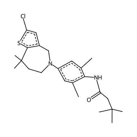 Cc1cc(N2CCC(C)(C)c3sc(Cl)cc3C2)cc(C)c1NC(=O)CC(C)(C)C